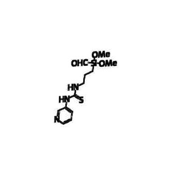 CO[Si](C=O)(CCCNC(=S)Nc1cccnc1)OC